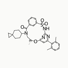 Cc1cccc(C)c1-c1cc2nc(n1)NS(=O)(=O)c1cccc(c1)C(=O)N(C1CCC3(CC1)CC3)C[C@@H](C)O2